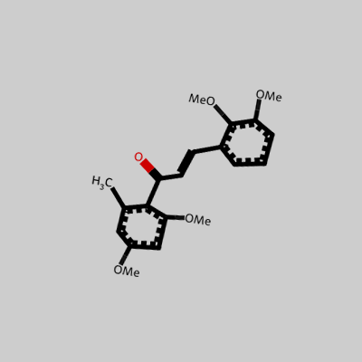 COc1cc(C)c(C(=O)/C=C/c2cccc(OC)c2OC)c(OC)c1